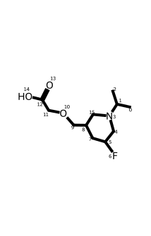 CC(C)N1CC(F)CC(COCC(=O)O)C1